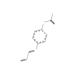 CC(=O)Nc1ccc(N=CC=S)cc1